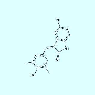 Cc1cc(C=C2C(=O)Nc3ccc(Br)cc32)cc(C)c1O